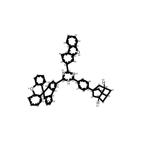 c1ccc2c(c1)Oc1ccccc1C21c2ccccc2-c2cc(-c3nc(-c4ccc(C56C[C@H]7CC8C[C@@H](C5)C87C6)cc4)nc(-c4ccc5c(c4)oc4ccccc45)n3)ccc21